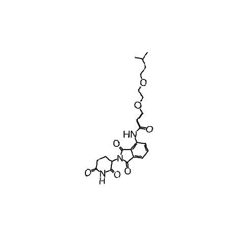 CC(C)CCOCCOCCC(=O)Nc1cccc2c1C(=O)N(C1CCC(=O)NC1=O)C2=O